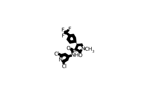 CN1C[C@@H](c2ccc(C(F)(F)F)cc2)[C@H](C(=O)Nc2cc(Cl)nc(Cl)c2)C1=O